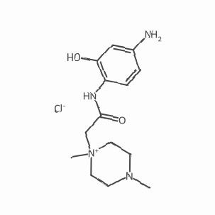 CN1CC[N+](C)(CC(=O)Nc2ccc(N)cc2O)CC1.[Cl-]